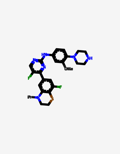 COc1cc(Nc2ncc(F)c(-c3cc(F)c4c(c3)N(C(C)C)CCS4)n2)ccc1N1CCNCC1